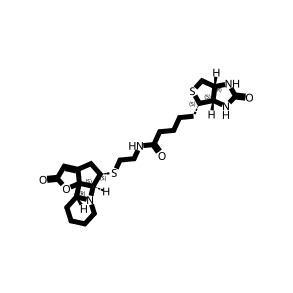 O=C(CCCC[C@@H]1SC[C@@H]2NC(=O)N[C@@H]21)NCCS[C@H]1CC2=CC(=O)OC23[C@H]2CCCCN2[C@H]13